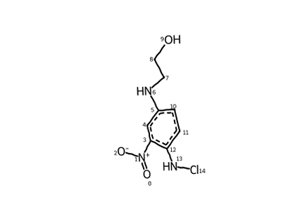 O=[N+]([O-])c1cc(NCCO)ccc1NCl